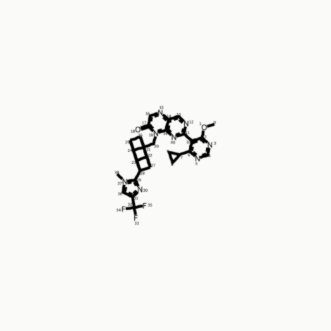 COc1ncnc(C2CC2)c1-c1ncc2ncc(=O)n(CC34C5C6C3C3C4C5C63c3nc(C(F)(F)F)cn3C)c2n1